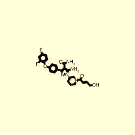 NC(=O)c1c(-c2ccc(Oc3ccc(F)cc3F)cc2)nn([C@@H]2CCCN(C(=O)C=CCO)C2)c1N